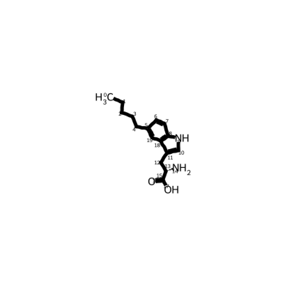 CCCCCc1ccc2[nH]cc(C[C@H](N)C(=O)O)c2c1